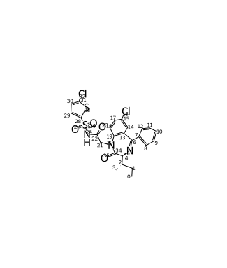 CC[C@H](C)[C@@H]1N=C(c2ccccc2)c2cc(Cl)ccc2N(CC(=O)NS(=O)(=O)c2ccc(Cl)s2)C1=O